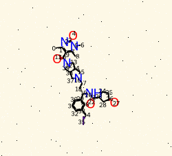 Cc1nc(=O)n(C)c(C)c1C(=O)N1CC2CN(CC[C@H](NC(=O)C3CCC(=O)C3)c3cccc(CI)c3)CC2C1